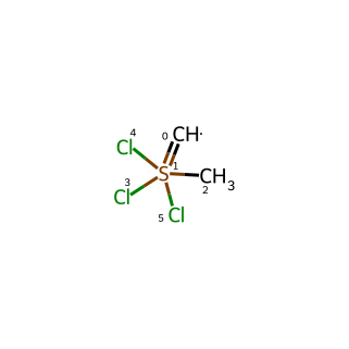 [CH]=S(C)(Cl)(Cl)Cl